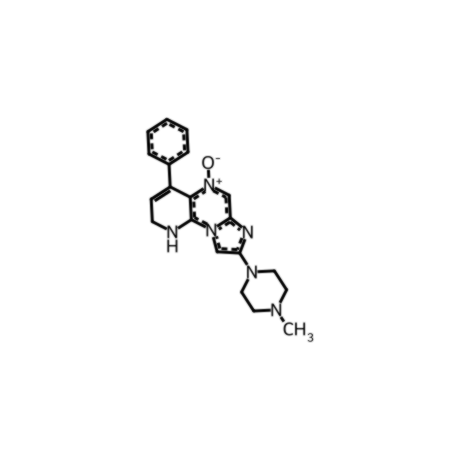 CN1CCN(c2cn3c4c([n+]([O-])cc3n2)C(c2ccccc2)=CCN4)CC1